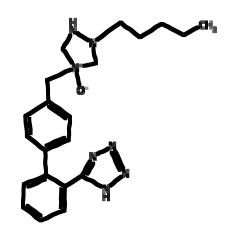 CCCCCN1C[N+]([O-])(Cc2ccc(-c3ccccc3-c3nnn[nH]3)cc2)CN1